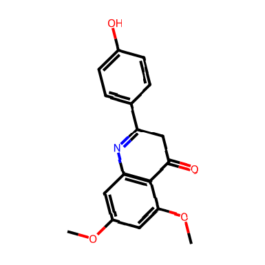 COc1cc2c(c(OC)c1)C(=O)CC(c1ccc(O)cc1)=N2